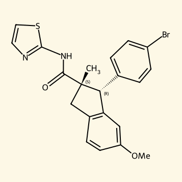 COc1ccc2c(c1)[C@@H](c1ccc(Br)cc1)[C@@](C)(C(=O)Nc1nccs1)C2